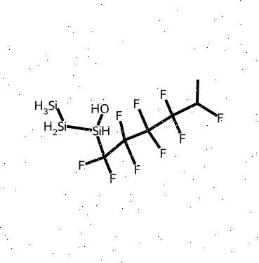 CC(F)C(F)(F)C(F)(F)C(F)(F)C(F)(F)[SiH](O)[SiH2][SiH3]